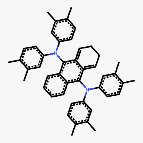 Cc1ccc(N(c2ccc(C)c(C)c2)c2c3c(c(N(c4ccc(C)c(C)c4)c4ccc(C)c(C)c4)c4ccccc24)=CCCC=3)cc1C